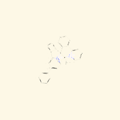 CCC1(CC)[n+]2ccccc2-c2ccccc2C12c1ccccc1-c1cc(-c3ccccc3)cc[n+]12